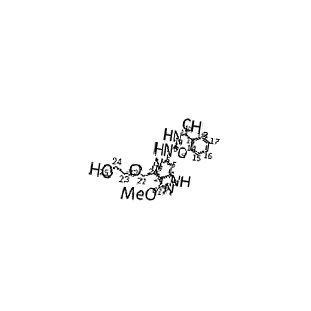 COc1n[nH]c2cc(NC(=O)N[C@H](C)c3ccccc3)nc(COCCO)c12